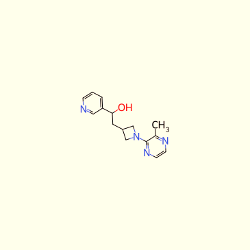 Cc1nccnc1N1CC(CC(O)c2cccnc2)C1